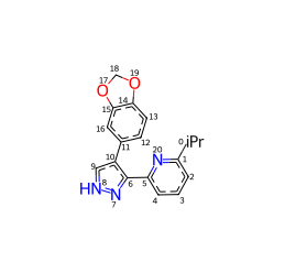 CC(C)c1cccc(-c2n[nH]cc2-c2ccc3c(c2)OCO3)n1